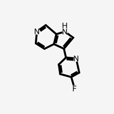 Fc1ccc(-c2c[nH]c3cnccc23)nc1